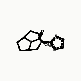 CC(=O)N1C2CCC1CN(c1nccs1)CC2